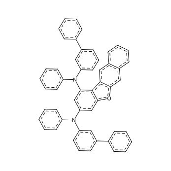 c1ccc(-c2cccc(N(c3ccccc3)c3cc(N(c4ccccc4)c4cccc(-c5ccccc5)c4)c4c(c3)oc3cc5ccccc5cc34)c2)cc1